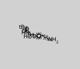 CC(C)(C)OC(=O)NCC(O)COc1ccc(CCCCN)cc1